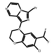 CC(C)c1nc(N2CCOc3cc(Cl)c(C(F)F)cc32)c2cnccn12